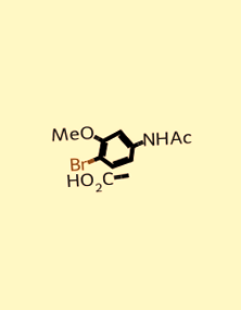 CC(=O)O.COc1cc(NC(C)=O)ccc1Br